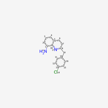 Nc1cccc2ccc(Cc3ccc(Cl)cc3)nc12